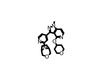 Cn1nc(-c2ccnc(N3C4CCC3COC4)c2)c2c(OC3CCOCC3)nccc21